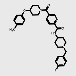 Cc1ccc(OC2CCN(C(=O)c3ccc(C(=O)NC4CCN(Cc5ccc(F)cc5)CC4)nc3)CC2)cc1